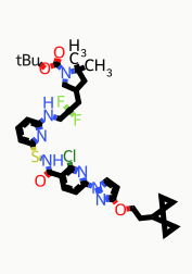 CC(C)(C)OC(=O)N1CC(CC(F)(F)CNc2cccc(SNC(=O)c3ccc(-n4ccc(OCCC5C6(CC6)C56CC6)n4)nc3Cl)n2)CC1(C)C